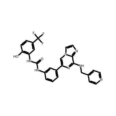 O=C(Nc1cccc(-c2cn3ccnc3c(NCc3ccncc3)n2)c1)Nc1cc(C(F)(F)F)ccc1O